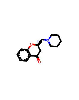 O=C1C/C(=C\N2CCCCC2)Oc2ccccc21